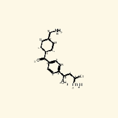 CCC(CC(C)c1ccc(C(=O)C2CCC(CN)CC2)cc1)C(=O)O